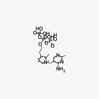 Cc1ncc(C[n+]2csc(CCOP(=O)(OP(=O)(O)O)OP(=O)(O)O)c2C)c(N)n1